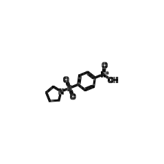 O=[N+](O)c1ccc(S(=O)(=O)N2CCCC2)cc1